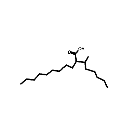 CCCCCCCCCC(C(=O)O)C(C)CCCCC